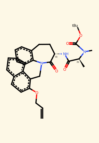 C=CCOc1ccc2ccccc2c1CN1C(=O)[C@@H](NC(=O)[C@H](C)N(C)C(=O)OC(C)(C)C)CCc2ccccc21